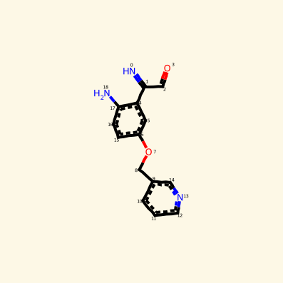 N=C(C=O)c1cc(OCc2cccnc2)ccc1N